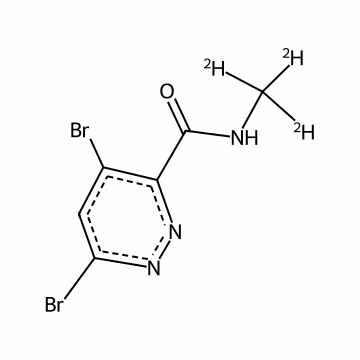 [2H]C([2H])([2H])NC(=O)c1nnc(Br)cc1Br